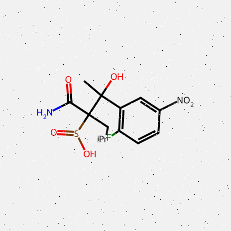 CC(C)CC(C(N)=O)(S(=O)O)C(C)(O)c1cc([N+](=O)[O-])ccc1F